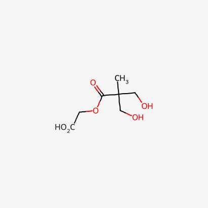 CC(CO)(CO)C(=O)OCC(=O)O